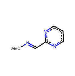 CON=Cc1ncccn1